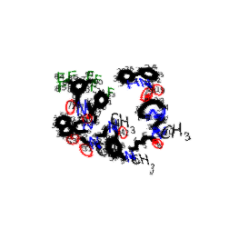 CN(CCCCCC(=O)N(C)CCN1CCC(OC(=O)Nc2ccccc2-c2ccccc2)CC1)Cc1cccc(C(=O)N(C)CCCN(C)C(=O)CO[C@H]2Cc3ccccc3C23CCN(CC[C@]2(c4ccc(F)cc4)CN(C(=O)c4cc(C(F)(F)F)cc(C(F)(F)F)c4)CO2)CC3)c1